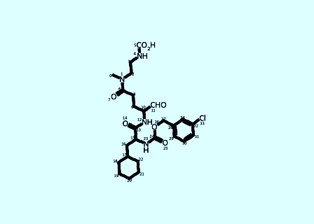 CN(CCNC(=O)O)C(=O)CCC(C=O)NC(=O)C(CC1CCCCC1)NC(=O)OCc1cccc(Cl)c1